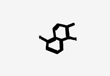 Cc1ccc2c(F)cccc2[n+]1I